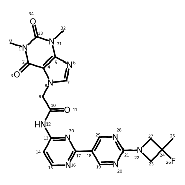 Cn1c(=O)c2c(ncn2CC(=O)Nc2ccnc(-c3cnc(N4CC(C)(F)C4)nc3)n2)n(C)c1=O